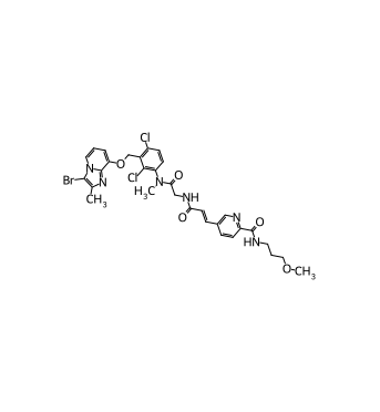 COCCCNC(=O)c1ccc(C=CC(=O)NCC(=O)N(C)c2ccc(Cl)c(COc3cccn4c(Br)c(C)nc34)c2Cl)cn1